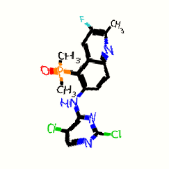 Cc1nc2ccc(Nc3nc(Cl)ncc3Cl)c(P(C)(C)=O)c2cc1F